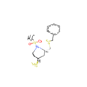 CS(=O)(=O)N1C[C@H](S)C[C@H]1CSCc1ccccc1